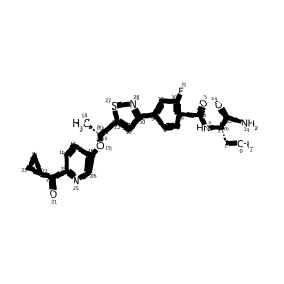 CC[C@H](NC(=O)c1ccc(-c2cc([C@@H](C)Oc3ccc(C(=O)C4CC4)nc3)sn2)cc1F)C(N)=O